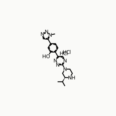 CC(C)[C@H]1CN(c2ncc(-c3ccc(-c4cnnn4C)cc3O)nn2)CCN1.Cl.Cl